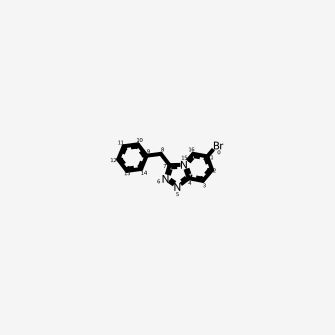 Brc1ccc2nnc(Cc3ccccc3)n2c1